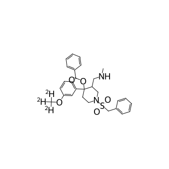 [2H]C([2H])([2H])Oc1cccc(C2(OC(=O)c3ccccc3)CCN(S(=O)(=O)Cc3ccccc3)CC2CNC)c1